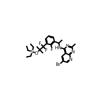 CC[Si](CC)(CC)OC(C)(C)C(F)(F)c1cccc(C(C)Nc2nc(C)nc3ncc(Br)cc23)c1F